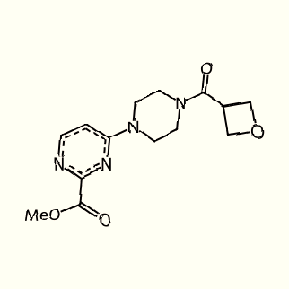 COC(=O)c1nccc(N2CCN(C(=O)C3COC3)CC2)n1